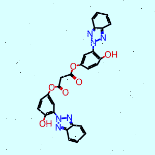 O=C(CC(=O)Oc1ccc(O)c(-n2nc3ccccc3n2)c1)Oc1ccc(O)c(-n2nc3ccccc3n2)c1